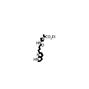 CCOC(=O)C(C)N1CC(NC(=O)CCCc2ccc3c(n2)NCCC3)C1